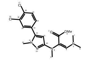 COC(=O)C(=CN(C)C)N(C)c1cc(-c2ccc(Cl)c(Cl)c2)n(C)n1